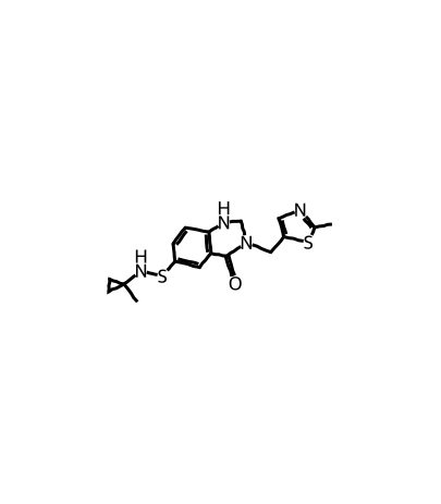 Cc1ncc(CN2CNc3ccc(SNC4(C)CC4)cc3C2=O)s1